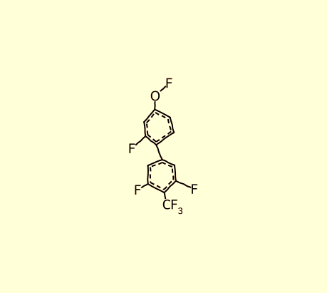 FOc1ccc(-c2cc(F)c(C(F)(F)F)c(F)c2)c(F)c1